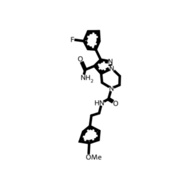 COc1ccc(CCNC(=O)N2CCn3nc(-c4cccc(F)c4)c(C(N)=O)c3C2)cc1